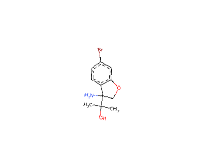 CC(C)(O)C1(N)COc2cc(Br)ccc21